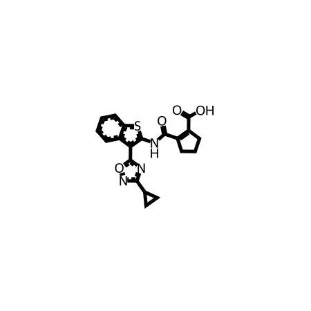 O=C(O)C1=C(C(=O)Nc2sc3ccccc3c2-c2nc(C3CC3)no2)CCC1